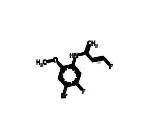 C=C(/C=C/F)Nc1cc(F)c(Br)cc1OC